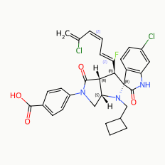 C=C(Cl)/C=C\C=C(/F)[C@@H]1[C@H]2C(=O)N(c3ccc(C(=O)O)cc3)C[C@H]2N(CC2CCC2)[C@]12C(=O)Nc1cc(Cl)ccc12